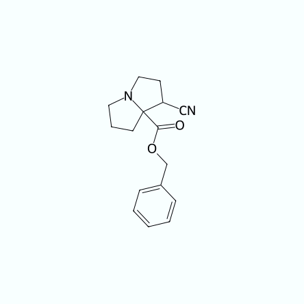 N#CC1CCN2CCCC12C(=O)OCc1ccccc1